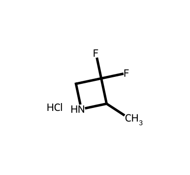 CC1NCC1(F)F.Cl